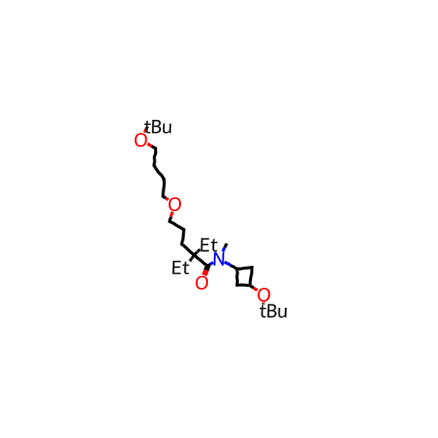 CCC(CC)(CCCOCCCCOC(C)(C)C)C(=O)N(C)C1CC(OC(C)(C)C)C1